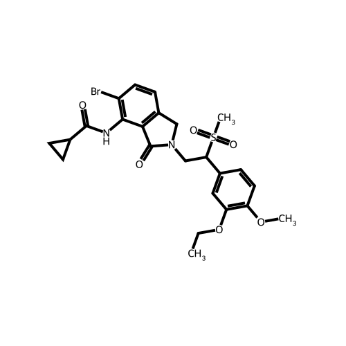 CCOc1cc(C(CN2Cc3ccc(Br)c(NC(=O)C4CC4)c3C2=O)S(C)(=O)=O)ccc1OC